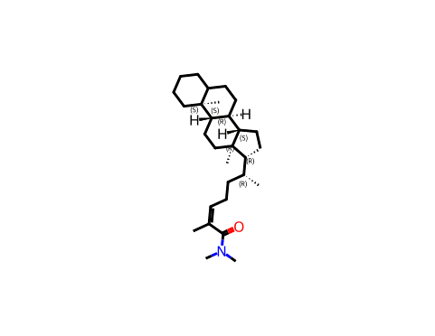 CC(=CCC[C@@H](C)[C@H]1CC[C@H]2[C@@H]3CCC4CCCC[C@]4(C)[C@H]3CC[C@]12C)C(=O)N(C)C